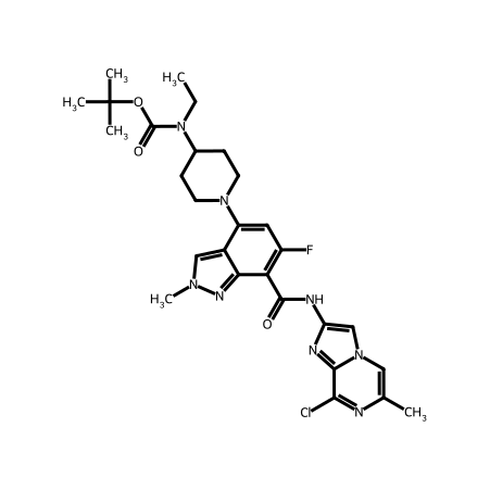 CCN(C(=O)OC(C)(C)C)C1CCN(c2cc(F)c(C(=O)Nc3cn4cc(C)nc(Cl)c4n3)c3nn(C)cc23)CC1